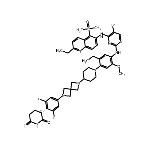 CCc1ccc2c(P(C)(C)=O)c(Nc3nc(Nc4cc(CC)c(N5CCC(N6CC7(CN(c8cc(F)c([C@H]9CCC(=O)NC9=O)c(F)c8)C7)C6)CC5)cc4OC)ncc3Br)ccc2n1